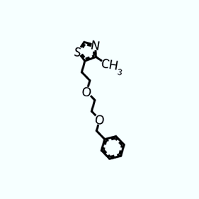 Cc1ncsc1CCOCCOCc1ccccc1